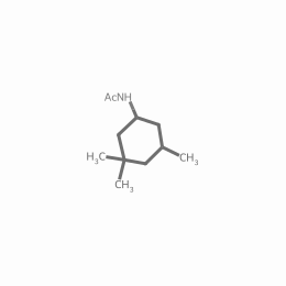 CC(=O)NC1CC(C)CC(C)(C)C1